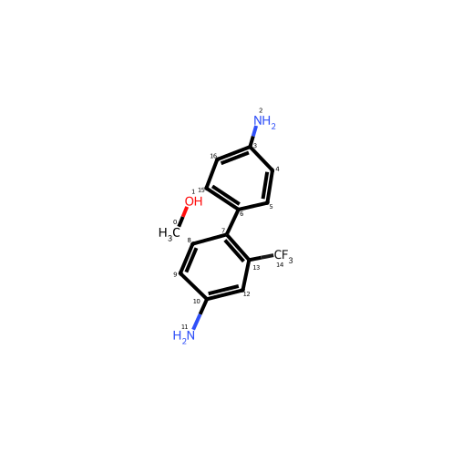 CO.Nc1ccc(-c2ccc(N)cc2C(F)(F)F)cc1